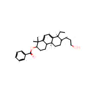 C[C@H](CO)[C@H]1CC[C@H]2C3=CC=C4C(C)(C)C(OC(=O)c5ccccc5)CC[C@]4(C)[C@H]3CC[C@]12C